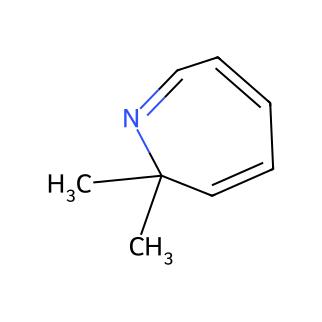 CC1(C)C=CC=CC=N1